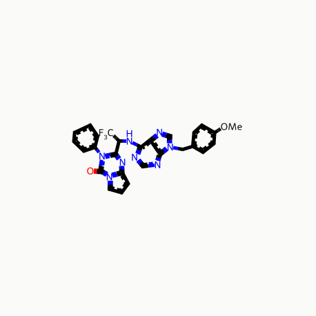 COc1ccc(Cn2cnc3c(NC(c4nc5cccn5c(=O)n4-c4ccccc4)C(F)(F)F)ncnc32)cc1